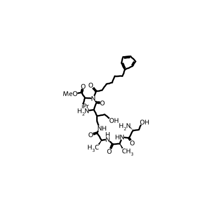 COC(=O)C(C(C)C)N(C(=O)CCCCCc1ccccc1)C(=O)C(N)C(CO)CNC(=O)[C@H](C)NC(=O)[C@H](C)NC(=O)[C@H](N)CO